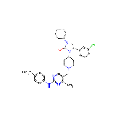 Cc1nc(Nc2ccc(C(=O)O)cc2)ncc1CN1CCC(N2C(=O)N(C3CCCCC3)CC2c2cccc(Cl)c2)CC1